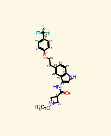 CON1CC(C(=O)Nc2c[nH]c3ccc(CCOc4ccc(C(F)(F)F)cc4)cc23)C1